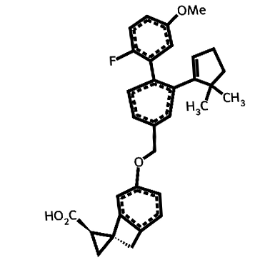 COc1ccc(F)c(-c2ccc(COc3ccc4c(c3)[C@@]3(C4)C[C@H]3C(=O)O)cc2C2=CCCC2(C)C)c1